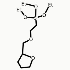 CCO[Si](CCOCC1CCCO1)(OCC)OCC